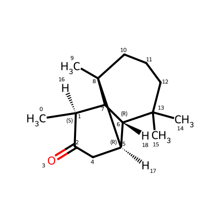 C[C@@H]1C(=O)C[C@@H]2[C@@H]3C1C2(C)CCCC3(C)C